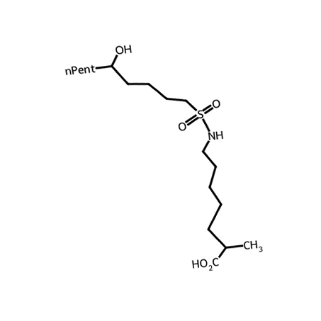 CCCCCC(O)CCCCS(=O)(=O)NCCCCCC(C)C(=O)O